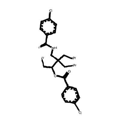 CC(C)CC(OC(=O)c1ccc(Cl)cc1)C(CNC(=O)c1ccc(Cl)cc1)(CC(C)C)CC(C)C